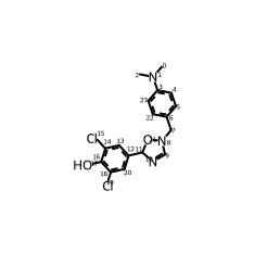 CN(C)c1ccc(CN2C=NC(c3cc(Cl)c(O)c(Cl)c3)O2)cc1